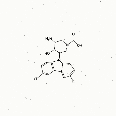 NC1CN(C(=O)O)CC(n2c3ccc(Cl)cc3c3cc(Cl)ccc32)C1O